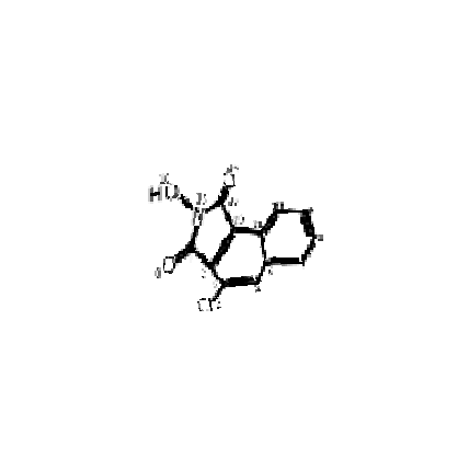 O=C1c2c(Cl)cc3ccccc3c2C(=O)N1O